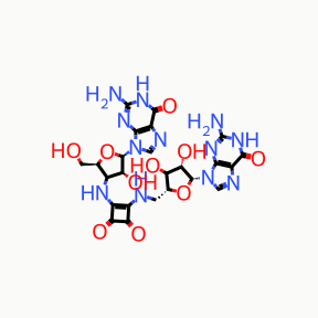 Nc1nc2c(ncn2[C@@H]2O[C@H](CNc3c(NC4[C@@H](CO)O[C@@H](n5cnc6c(=O)[nH]c(N)nc65)[C@H]4O)c(=O)c3=O)C(O)[C@@H]2O)c(=O)[nH]1